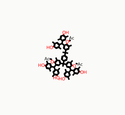 CC(=O)COc1c(C)cc(C(C)(C)c2ccc(C(C)(c3cc(C)c(OCC(C)=O)c(C(c4cc(C)c(O)cc4C)c4cc(C)c(O)cc4C)c3)c3cc(C)c(OCC(C)=O)c(C(c4cc(C)c(O)cc4C)c4cc(C)c(O)cc4C)c3)cc2)cc1C(c1cc(C)c(O)cc1C)c1cc(C)c(O)cc1C